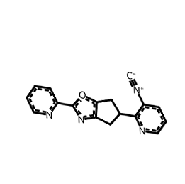 [C-]#[N+]c1cccnc1C1Cc2nc(-c3ccccn3)oc2C1